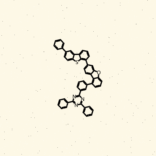 c1ccc(-c2ccc3sc4c(-c5ccc6c(c5)oc5cccc(-c7cccc(-c8nc(-c9ccccc9)nc(-c9ccccc9)n8)c7)c56)cccc4c3c2)cc1